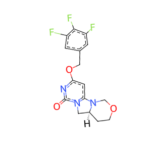 O=c1nc(OCc2cc(F)c(F)c(F)c2)cc2n1C[C@@H]1CCOCN21